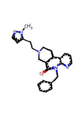 Cn1nccc1CCN1CCc2c(c(=O)n(Cc3ccccc3)c3ncccc23)C1